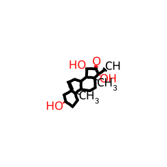 C#C[C@]1(O)C(=O)[C@H](O)C2C3CC=C4C[C@H](O)CC[C@]4(C)C3CC[C@@]21C